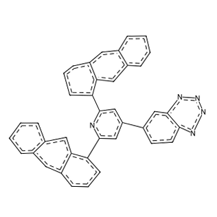 c1ccc2cc3c(-c4cc(-c5ccc6nnnnc6c5)cc(-c5cccc6cc7ccccc7cc56)n4)cccc3cc2c1